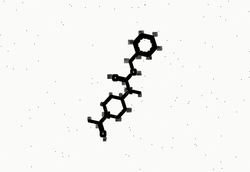 CC(=O)N1CCC(N(C)C(=O)OCc2ccccc2)CC1